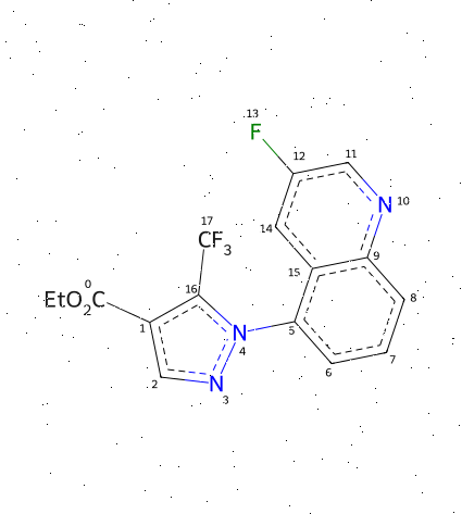 CCOC(=O)c1cnn(-c2cccc3ncc(F)cc23)c1C(F)(F)F